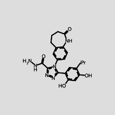 CC(C)c1cc(-c2nnc(C(=O)NN)n2-c2ccc3c(c2)CCCC(=O)N3)c(O)cc1O